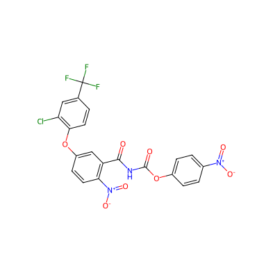 O=C(NC(=O)c1cc(Oc2ccc(C(F)(F)F)cc2Cl)ccc1[N+](=O)[O-])Oc1ccc([N+](=O)[O-])cc1